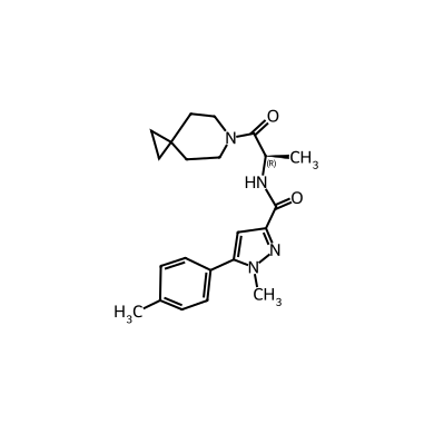 Cc1ccc(-c2cc(C(=O)N[C@H](C)C(=O)N3CCC4(CC3)CC4)nn2C)cc1